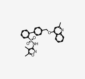 Cc1cc(OCc2ccc(-c3ccccc3S(=O)(=O)Nc3noc(C)c3C)cc2)c2ccccc2n1